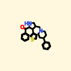 O=C(c1ccccc1)C1NCC(CN2CCC(c3ccccc3)CC2)C1c1ccsc1